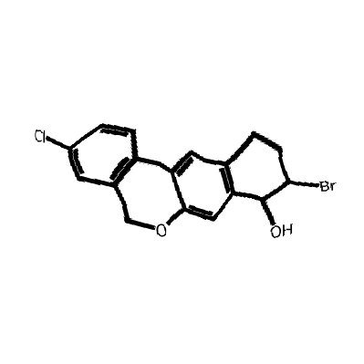 OC1c2cc3c(cc2CCC1Br)-c1ccc(Cl)cc1CO3